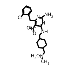 CN(C)CC1CCC(CNc2nc(N)nc(Cc3ccccc3Cl)c2[N+](=O)[O-])CC1